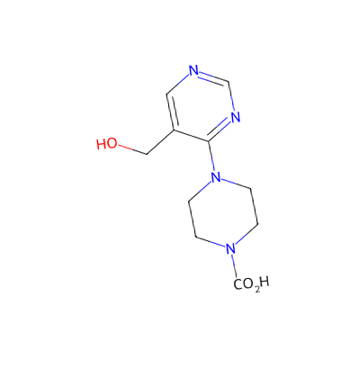 O=C(O)N1CCN(c2ncncc2CO)CC1